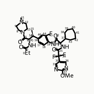 CCC(=O)N[C@@H](C(=O)N1CCN(C)CC1)[C@@H](C)c1ccc(NC(=O)[C@@H](NC(=O)C(F)(F)c2cnc(OC)nc2)C2CCCCCC2)c(F)c1